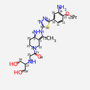 Cc1c2c(nn1-c1nnc(-c3ccc(OC(C)C)c(N)c3)s1)CCN(C(=O)CNC(CO)CO)C2